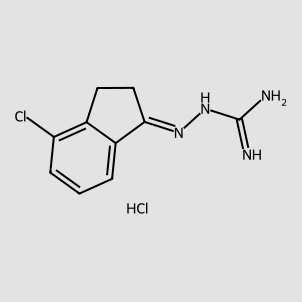 Cl.N=C(N)NN=C1CCc2c(Cl)cccc21